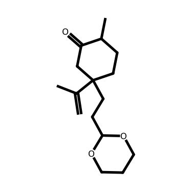 C=C(C)C1(CCC2OCCCO2)CCC(C)C(=O)C1